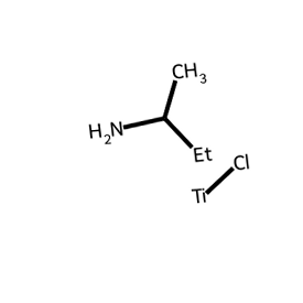 CCC(C)N.[Cl][Ti]